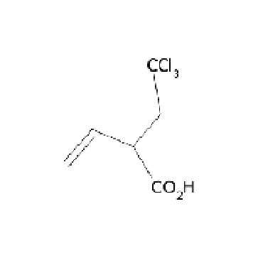 C=CC(CC(Cl)(Cl)Cl)C(=O)O